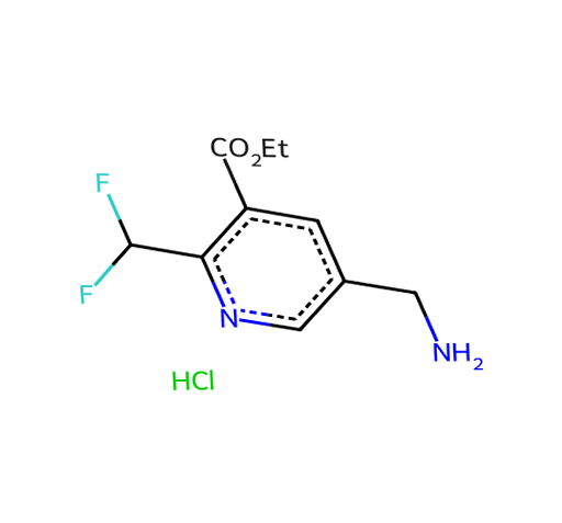 CCOC(=O)c1cc(CN)cnc1C(F)F.Cl